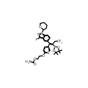 CC1(C)OB(/C(CC(F)(F)F)=C(\c2ccc(OCCOC(N)=O)nc2)c2ccc3c(c2)c(F)nn3C2CCCCO2)OC1(C)C